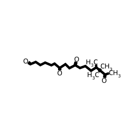 CC(=O)C(C)(C)C(C)CCCC(=O)CCC(=O)CCCCCC=O